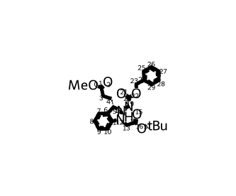 COC(=O)CC[C@H]1c2ccccc2N(CC(=O)OC(C)(C)C)N1NC(=O)OCc1ccccc1